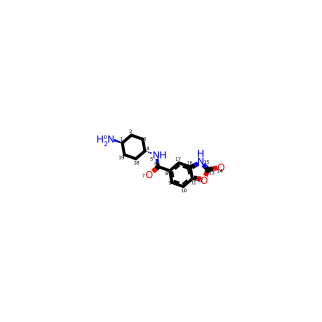 N[C@H]1CC[C@H](NC(=O)c2ccc3oc(=O)[nH]c3c2)CC1